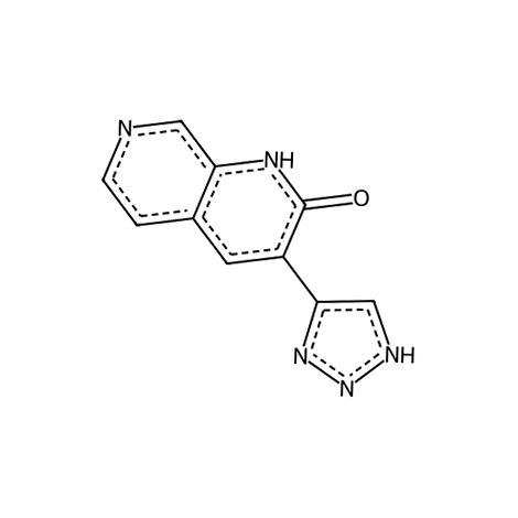 O=c1[nH]c2cnccc2cc1-c1c[nH]nn1